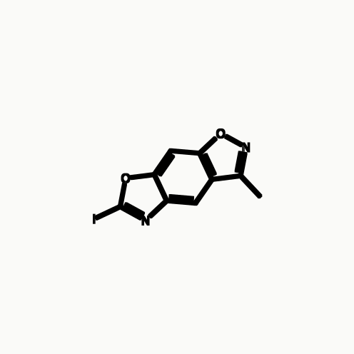 Cc1noc2cc3oc(I)nc3cc12